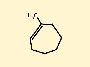 CC1=CCCCC[CH]1